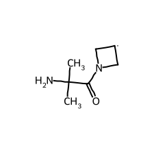 CC(C)(N)C(=O)N1C[CH]C1